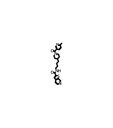 Cc1ccc(C(=O)N2CCC(CCCCNC(=O)c3cc4ccncc4s3)CC2)cn1